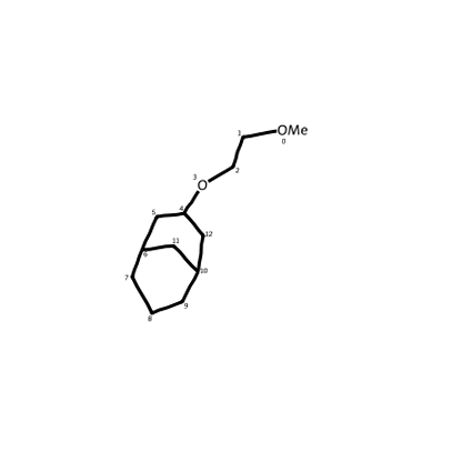 COCCOC1CC2CCCC(C2)C1